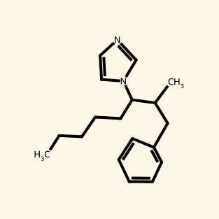 CCCCCC(C(C)Cc1ccccc1)n1ccnc1